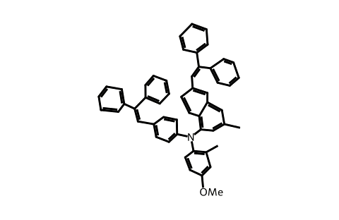 COc1ccc(N(c2ccc(C=C(c3ccccc3)c3ccccc3)cc2)c2cc(C)cc3cc(C=C(c4ccccc4)c4ccccc4)ccc23)c(C)c1